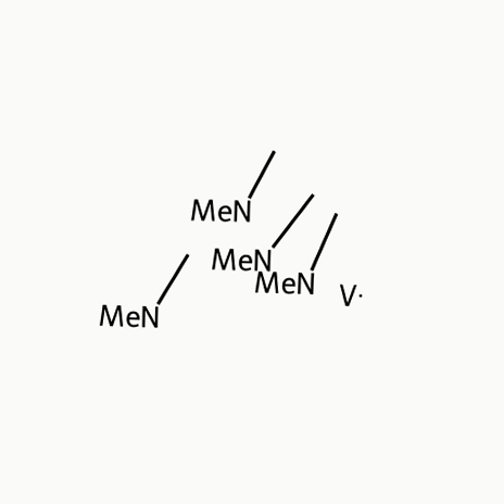 CNC.CNC.CNC.CNC.[V]